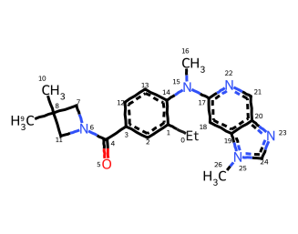 CCc1cc(C(=O)N2CC(C)(C)C2)ccc1N(C)c1cc2c(cn1)ncn2C